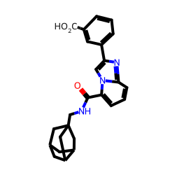 O=C(O)c1cccc(-c2cn3c(C(=O)NCC45CC6CC(C4)C(C6)C5)cccc3n2)c1